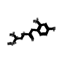 Cc1cc(Cl)ccc1CC(=O)NCC(C)C(=O)O